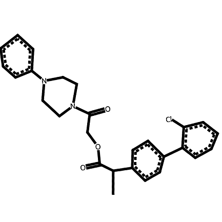 CC(C(=O)OCC(=O)N1CCN(c2ccccc2)CC1)c1ccc(-c2ccccc2Cl)cc1